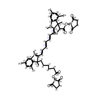 CCCCC(C(=O)ON1C(=O)CCC1=O)C1(C)/C(=C/C=C/C=C/C=C/C2=[N+](C)c3cc(I)cc(I)c3C2(C)CCCCCC(=O)ON2C(=O)CCC2=O)N(C)c2cc(I)cc(I)c21